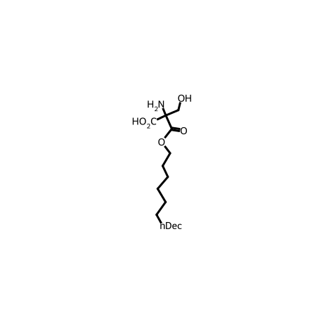 CCCCCCCCCCCCCCCCOC(=O)C(N)(CO)C(=O)O